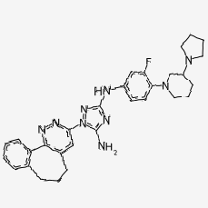 Nc1nc(Nc2ccc(N3CCCC(N4CCCC4)C3)c(F)c2)nn1-c1cc2c(nn1)-c1ccccc1CCC2